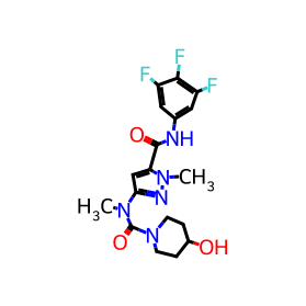 CN(C(=O)N1CCC(O)CC1)c1cc(C(=O)Nc2cc(F)c(F)c(F)c2)n(C)n1